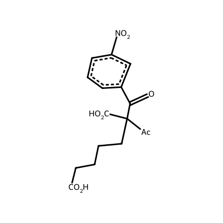 CC(=O)C(CCCCC(=O)O)(C(=O)O)C(=O)c1cccc([N+](=O)[O-])c1